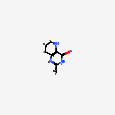 [2H]c1nc2c(c(=O)[nH]1)NCCC2